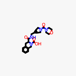 O=C(NCC1C2CN(C(=O)N3CCOCC3)CC12)C1Cc2ccccc2CN1C(=O)O